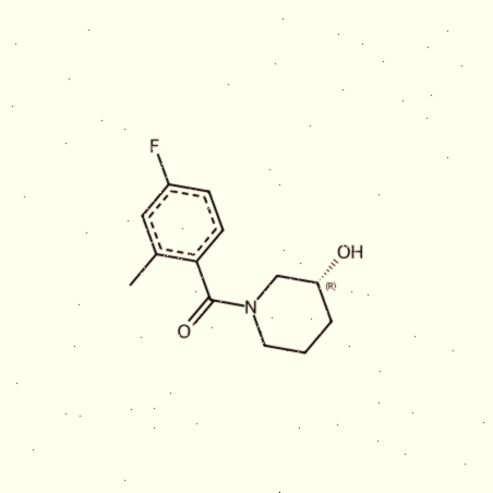 Cc1cc(F)ccc1C(=O)N1CCC[C@@H](O)C1